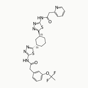 CC(F)(F)Oc1cccc(CC(=O)Nc2nnc([C@H]3CCC[C@H](c4nnc(NC(=O)Cc5ccccn5)s4)C3)s2)c1